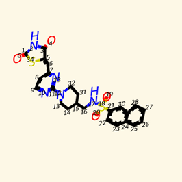 O=C1NC(=O)/C(=C/c2ccnc(N3CCC(CNS(=O)(=O)c4ccc5ccccc5c4)CC3)n2)S1